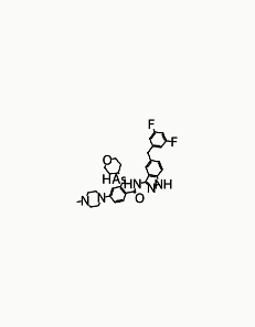 CN1CCN(c2ccc(C(=O)Nc3n[nH]c4ccc(Cc5cc(F)cc(F)c5)cc34)c([AsH]C3CCOCC3)c2)CC1